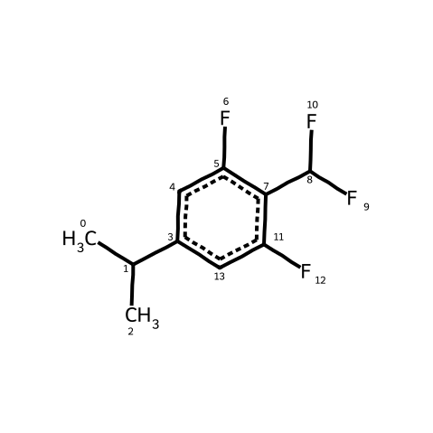 CC(C)c1cc(F)c(C(F)F)c(F)c1